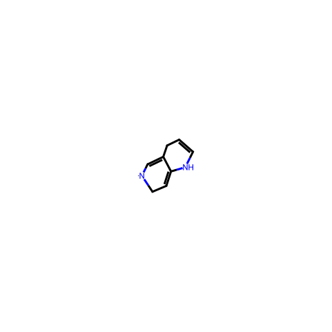 C1=CNC2=CC[N]C=C2C1